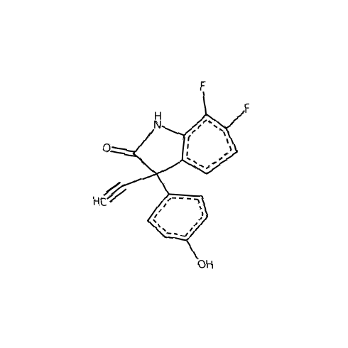 C#CC1(c2ccc(O)cc2)C(=O)Nc2c1ccc(F)c2F